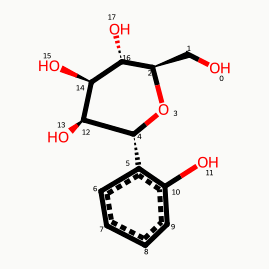 OC[C@H]1O[C@H](c2ccccc2O)[C@@H](O)[C@@H](O)[C@@H]1O